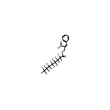 O=C(OCC(=Cc1ccccc1)[N+](=O)[O-])C(F)(F)C(F)(F)C(F)(F)C(F)(F)C(F)(F)C(F)(F)C(F)(F)F